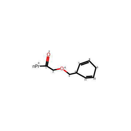 CCCC(=O)COCC1C=CCC=C1